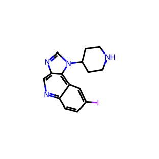 Ic1ccc2ncc3ncn(C4CCNCC4)c3c2c1